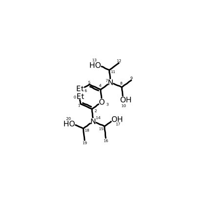 CC/C=C(\O/C(=C\CC)N(C(C)O)C(C)O)N(C(C)O)C(C)O